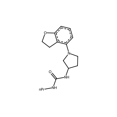 CCCNC(=O)NC1CCN(c2cccc3c2CCO3)C1